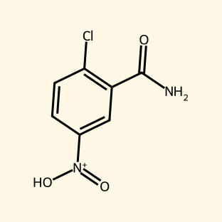 NC(=O)c1cc([N+](=O)O)ccc1Cl